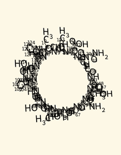 CCCC[C@H]1C(=O)N(C)[C@@H](CCCC)C(=O)N[C@@H](CCC(=O)O)C(=O)N[C@H](C(=O)NCC(N)=O)CSCC(=O)N[C@@H](Cc2ccc(O)cc2)C(=O)N(C)[C@@H](C)C(=O)N[C@@H](CC(N)=O)C(=O)N2CCC[C@H]2C(=O)N[C@@H](CO)C(=O)N[C@@H](CC(C)C)C(=O)N2C[C@H](O)C[C@H]2C(=O)N[C@@H](Cc2c[nH]c3ccccc23)C(=O)N[C@@H](CCC(=O)O)C(=O)N[C@@H](Cc2c[nH]c3ccccc23)C(=O)N1C